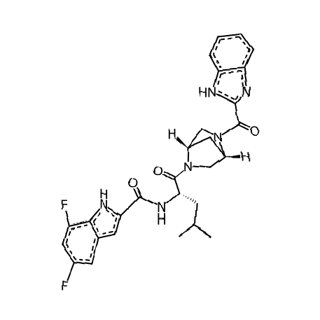 CC(C)C[C@H](NC(=O)c1cc2cc(F)cc(F)c2[nH]1)C(=O)N1C[C@@H]2C[C@H]1CN2C(=O)c1nc2ccccc2[nH]1